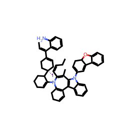 C/C=C(/C1=CC[C@@](I)(C2CCCC=C2N2C(/C=C\CC)=C(C)c3c(c4ccccc4n3C3=CCC4Oc5ccccc5C4=C3)C3=C2CCC=C3)CC1)c1ccccc1N